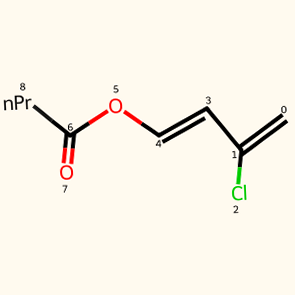 C=C(Cl)C=COC(=O)CCC